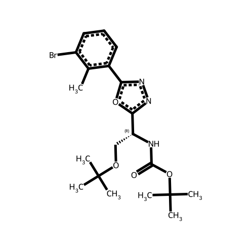 Cc1c(Br)cccc1-c1nnc([C@@H](COC(C)(C)C)NC(=O)OC(C)(C)C)o1